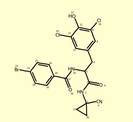 N#CC1(NC(=O)C(Cc2cc(Cl)c(O)c(Cl)c2)NC(=O)c2ccc(Br)cc2)CC1